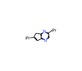 CC(C)C1=Cc2ncc(C(C)C)nc2C1